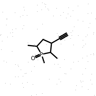 C#CC1CC(C)P(C)(=O)C1C